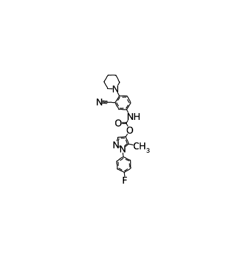 Cc1c(OC(=O)Nc2ccc(N3CCCCC3)c(C#N)c2)cnn1-c1ccc(F)cc1